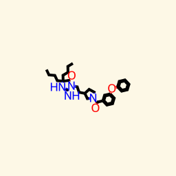 CCCCC1(CCCC)NC(=N)N(CCC2CCN(C(=O)c3cccc(Oc4ccccc4)c3)C2)C1=O